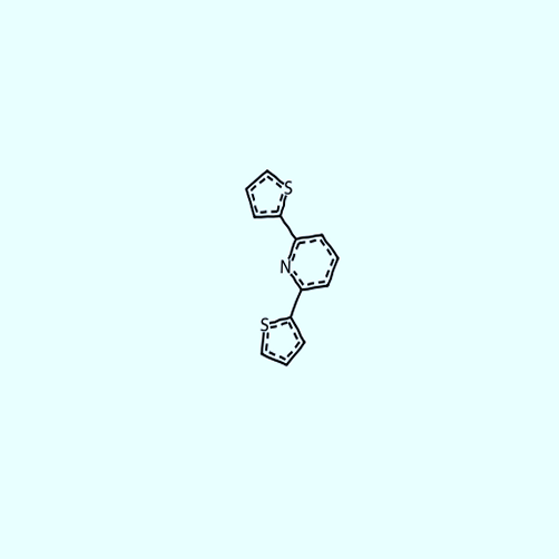 c1cc(-c2cccs2)nc(-c2cccs2)c1